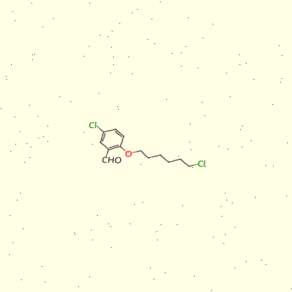 O=Cc1cc(Cl)ccc1OCCCCCCCl